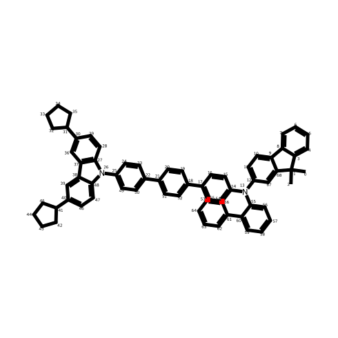 CC1(C)c2ccccc2-c2ccc(N(c3ccc(-c4ccc(-c5ccc(-n6c7ccc(C8CCCC8)cc7c7cc(C8CCCC8)ccc76)cc5)cc4)cc3)c3ccccc3-c3ccccc3)cc21